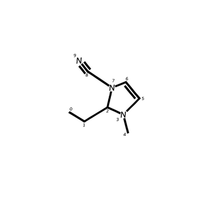 CCC1N(C)C=CN1C#N